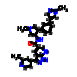 Cc1cc(-c2n[nH]c3ncc(C(=O)NC4CN(C)CC4c4cccc(-c5cnn(C)c5)c4)cc23)ccn1